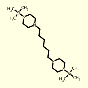 C[Si](C)(C)N1CCN(CCCCCCN2CCN([Si](C)(C)C)CC2)CC1